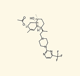 CC(=O)O[C@@H]1[CH][C@@]2(O)[C@H](C)CC[C@@H](C(C)CN3CCN(c4nccc(C(F)(F)F)n4)CC3)[C@H]2C=C1C